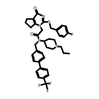 CCCN1CCC(N(Cc2ccc(-c3ccc(C(F)(F)F)cc3)cc2)C(=O)Cn2c(SCc3ccc(F)cc3)nc(=O)c3c2CCC3)CC1